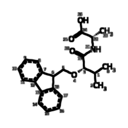 CC(C)[C@H](OCC1c2ccccc2-c2ccccc21)C(=O)N[C@@H](C)C(=O)O